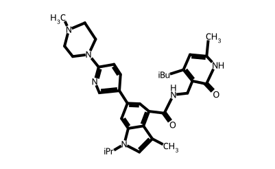 CCC(C)c1cc(C)[nH]c(=O)c1CNC(=O)c1cc(-c2ccc(N3CCN(C)CC3)nc2)cc2c1c(C)cn2C(C)C